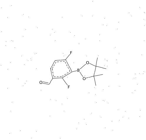 CC1(C)OB(c2c(F)ccc(C=O)c2F)OC1(C)C